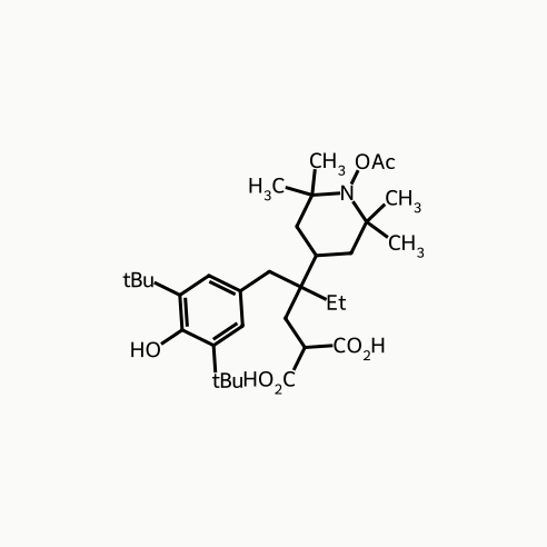 CCC(Cc1cc(C(C)(C)C)c(O)c(C(C)(C)C)c1)(CC(C(=O)O)C(=O)O)C1CC(C)(C)N(OC(C)=O)C(C)(C)C1